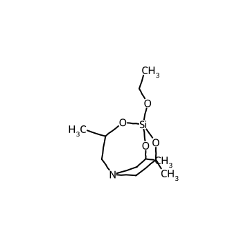 CCO[Si]12OC(C)CN(CC(C)O1)CC(C)O2